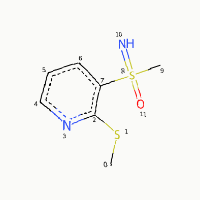 CSc1ncccc1S(C)(=N)=O